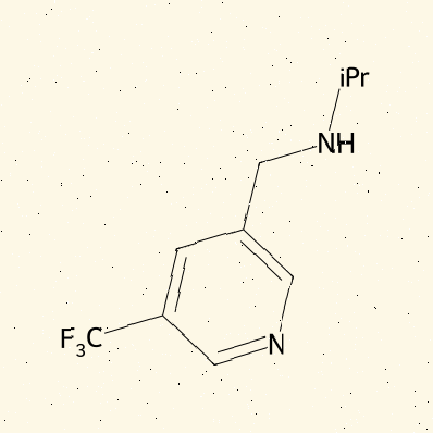 CC(C)NCc1cncc(C(F)(F)F)c1